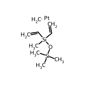 C=C[Si](C)(C=C)O[Si](C)(C)C.[CH2].[Pt]